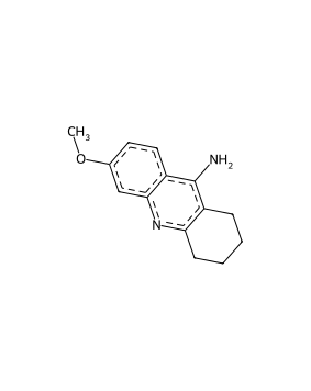 COc1ccc2c(N)c3c(nc2c1)CCCC3